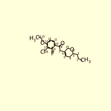 CCCC1CC=C(CC(=O)c2ccc(OCC)c(Cl)c2F)CO1